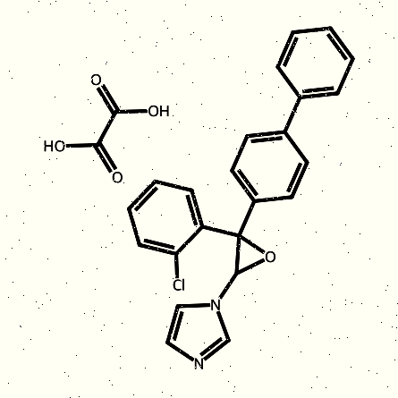 Clc1ccccc1C1(c2ccc(-c3ccccc3)cc2)OC1n1ccnc1.O=C(O)C(=O)O